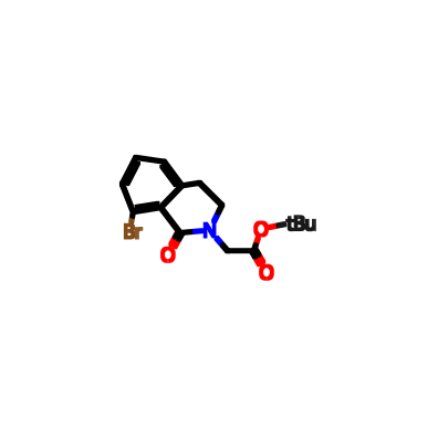 CC(C)(C)OC(=O)CN1CCc2cccc(Br)c2C1=O